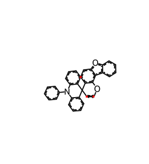 c1ccc(N2c3ccccc3C3(c4ccccc4Oc4c3ccc3oc5ccccc5c43)c3ccccc32)cc1